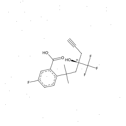 C#CC[C@@](O)(CC(C)(C)c1ccc(F)cc1C(=O)O)C(F)(F)F